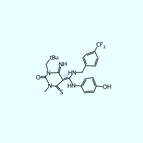 CN1C(=O)N(CC(C)(C)C)C(=N)/C(=C(\NCc2ccc(C(F)(F)F)cc2)Nc2ccc(O)cc2)C1=S